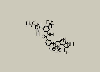 Cc1c[nH]c(-c2cc(NC(=O)c3ccc(C)c(N4Cc5cnc6[nH]ccc6c5N(C)C4=O)c3)cc(C(F)(F)F)c2)n1